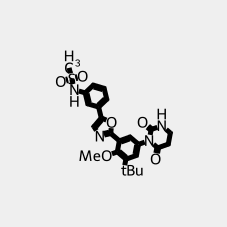 COc1c(-c2ncc(-c3cccc(NS(C)(=O)=O)c3)o2)cc(N2C(=O)CCNC2=O)cc1C(C)(C)C